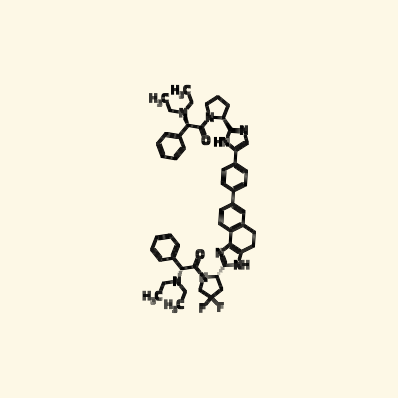 CCN(CC)[C@@H](C(=O)N1CCC[C@H]1c1ncc(-c2ccc(-c3ccc4c(c3)CCc3[nH]c([C@@H]5CC(F)(F)CN5C(=O)[C@@H](c5ccccc5)N(CC)CC)nc3-4)cc2)[nH]1)c1ccccc1